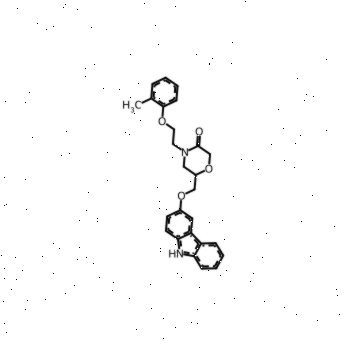 Cc1ccccc1OCCN1CC(COc2ccc3[nH]c4ccccc4c3c2)OCC1=O